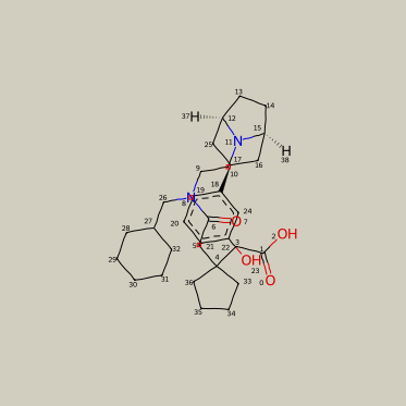 O=C(O)CC1(CC(=O)N(CCN2[C@@H]3CC[C@H]2C[C@@H](c2cccc(O)c2)C3)CC2CCCCC2)CCCC1